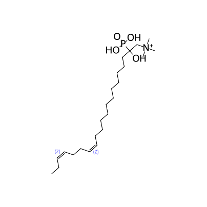 CC/C=C\CC/C=C\CCCCCCCCCCCC(O)(C[N+](C)(C)C)P(=O)(O)O